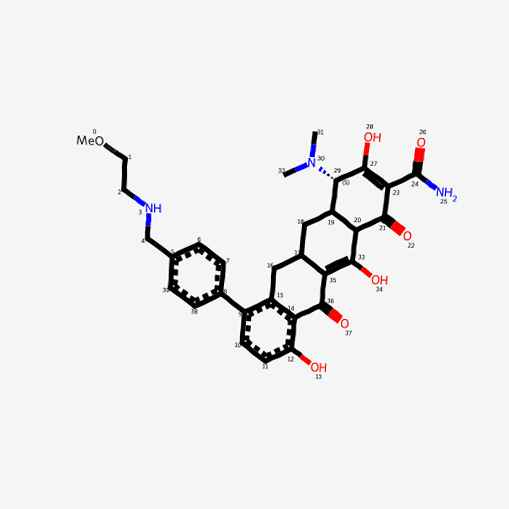 COCCNCc1ccc(-c2ccc(O)c3c2CC2CC4C(C(=O)C(C(N)=O)=C(O)[C@H]4N(C)C)C(O)=C2C3=O)cc1